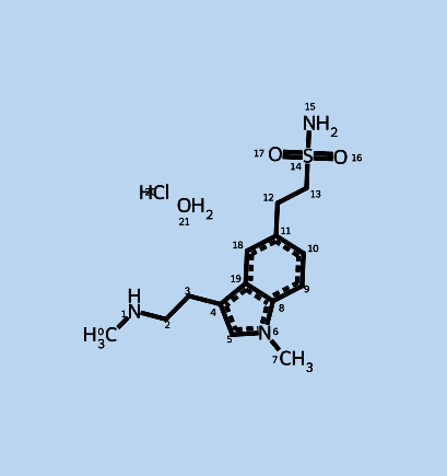 CNCCc1cn(C)c2ccc(CCS(N)(=O)=O)cc12.Cl.O